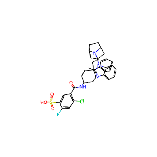 Cc1nc2ccccc2n1C1CC2CCC(C1)N2CCC1(c2ccccc2)CCC(NC(=O)c2cc(S(=O)(=O)O)c(F)cc2Cl)CC1